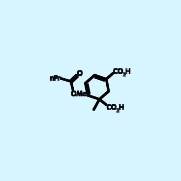 CC1(C(=O)O)C=CC=C(C(=O)O)C1.CCCC(=O)OC